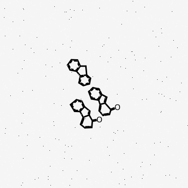 O=C1C=CC=C2C1=Cc1ccccc12.O=C1C=CC=C2C1=Cc1ccccc12.c1ccc2c(c1)Cc1ccccc1-2